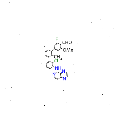 COc1cc(-c2cccc(-c3cccc(Nc4nccc5nccnc45)c3Cl)c2C)cc(F)c1C=O